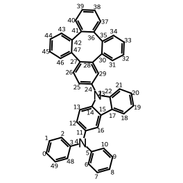 c1ccc(N(c2ccccc2)c2ccc3c(c2)c2ccccc2n3-c2ccc3c(c2)-c2ccccc2-c2ccccc2-c2ccccc2-3)cc1